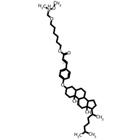 CO[SiH](C)COCCCCCCOC(=O)/C=C/c1ccc(OC2CCC3(C)C(CCC4C3CCC3(C)C(C(C)CCCC(C)C)CCC43)C2)cc1